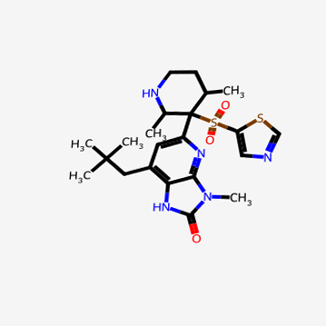 CC1CCNC(C)C1(c1cc(CC(C)(C)C)c2[nH]c(=O)n(C)c2n1)S(=O)(=O)c1cncs1